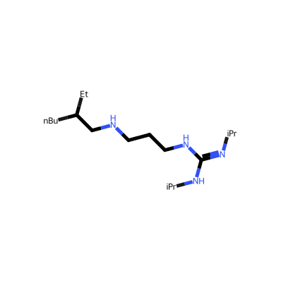 CCCCC(CC)CNCCCN/C(=N\C(C)C)NC(C)C